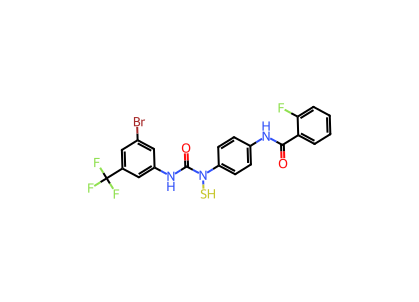 O=C(Nc1ccc(N(S)C(=O)Nc2cc(Br)cc(C(F)(F)F)c2)cc1)c1ccccc1F